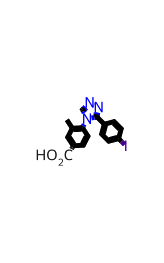 Cc1cc(C(=O)O)ccc1-n1cnnc1-c1ccc(I)cc1